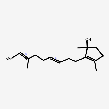 CCC/C=C(\C)CC/C=C/CCC1=C(C)CCC1(C)O